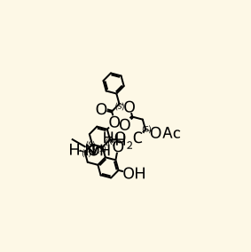 CC(=O)O[C@@H](CC(=O)O[C@H](C(=O)OC1=CC[C@@]2(O)[C@H]3Cc4ccc(O)c5c4[C@@]2(CCN3C)[C@H]1O5)c1ccccc1)C(=O)O